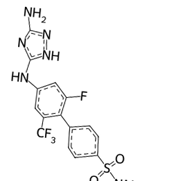 CNS(=O)(=O)c1ccc(-c2c(F)cc(Nc3nc(N)n[nH]3)cc2C(F)(F)F)cc1